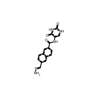 NN=Cc1ccc2cc(C(=O)Nc3c[nH]c(=O)[nH]c3=O)ccc2c1